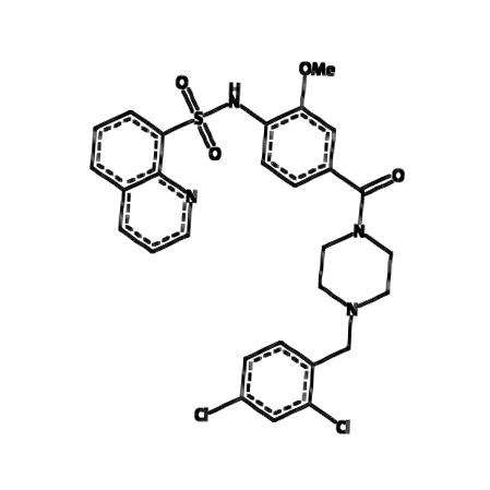 COc1cc(C(=O)N2CCN(Cc3ccc(Cl)cc3Cl)CC2)ccc1NS(=O)(=O)c1cccc2cccnc12